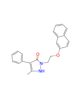 Cc1[nH]n(CCOc2ccc3ccccc3c2)c(=O)c1-c1ccccc1